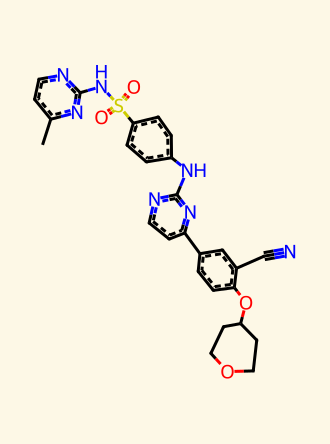 Cc1ccnc(NS(=O)(=O)c2ccc(Nc3nccc(-c4ccc(OC5CCOCC5)c(C#N)c4)n3)cc2)n1